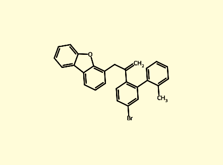 C=C(Cc1cccc2c1oc1ccccc12)c1ccc(Br)cc1-c1ccccc1C